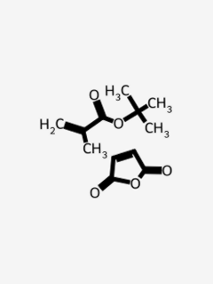 C=C(C)C(=O)OC(C)(C)C.O=C1C=CC(=O)O1